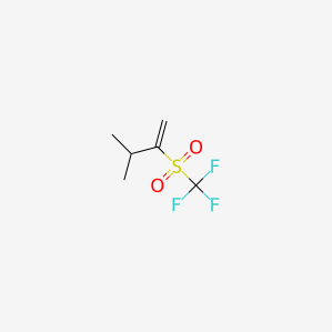 C=C(C(C)C)S(=O)(=O)C(F)(F)F